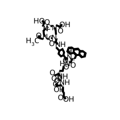 CC(=O)CN1CCN(CC(=O)O)CCN(CC(=O)O)CCN(CC(=O)NCC2CCC(C(=O)N[C@@H](Cc3c4ccccc4cc4ccccc34)C(=O)NOCCC[C@H](NC(=O)N[C@@H](CCCC(=O)O)C(=O)O)C(=O)O)CC2)CC1